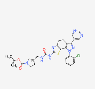 C=C(C)OC(=O)N1CC[C@H](CNC(=O)Nc2nc3c(s2)-c2c(c(-c4cncnc4)nn2-c2ccccc2Cl)CC3)C1